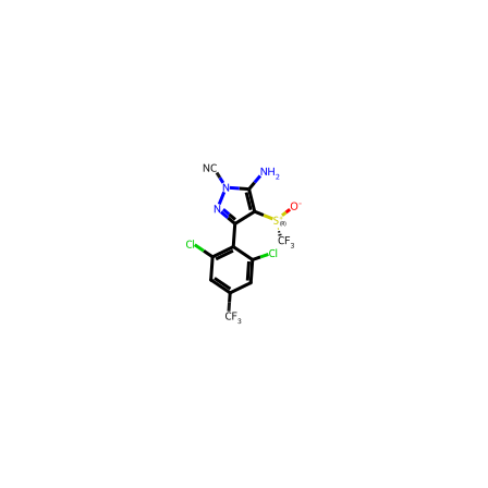 N#Cn1nc(-c2c(Cl)cc(C(F)(F)F)cc2Cl)c([S@+]([O-])C(F)(F)F)c1N